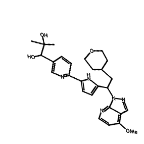 COc1ccnc2c1cnn2C(CC1CCOCC1)c1ccc(-c2ccc(C(O)C(C)(C)O)cn2)[nH]1